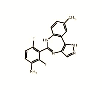 Cc1ccc2c(c1)-c1[nH]ncc1N=C(c1c(F)ccc(N)c1F)N2